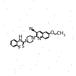 CCOc1ccc2nc(N3CCN(C(=S)Nc4ccccc4F)CC3)c(C#N)cc2c1